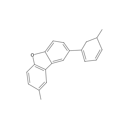 Cc1ccc2oc3ccc(C4=CC=CC(C)C4)cc3c2c1